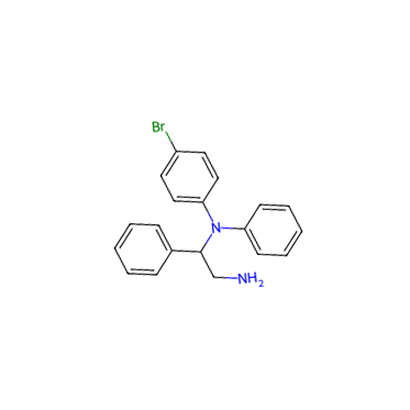 NCC(c1ccccc1)N(c1ccccc1)c1ccc(Br)cc1